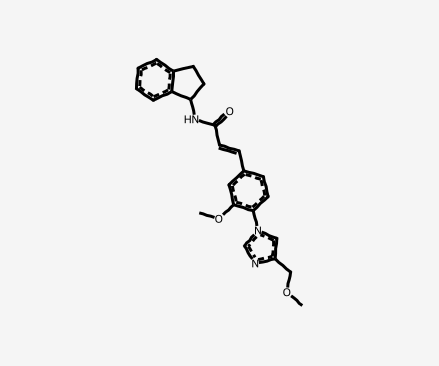 COCc1cn(-c2ccc(C=CC(=O)NC3CCc4ccccc43)cc2OC)cn1